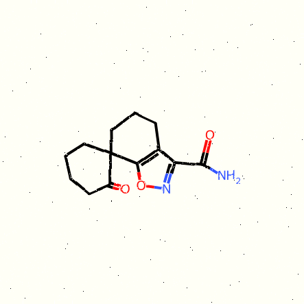 NC(=O)c1noc2c1CCCC21CCCCC1=O